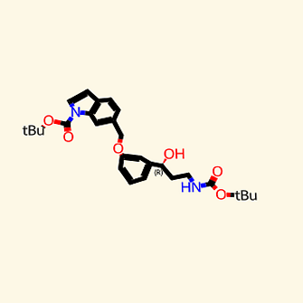 CC(C)(C)OC(=O)NCC[C@@H](O)c1cccc(OCc2ccc3ccn(C(=O)OC(C)(C)C)c3c2)c1